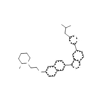 CC(C)Cc1nc(-c2ccc3[nH]nc(-c4ccc5cc(OCCN6CCCC[C@@H]6C)ccc5c4)c3c2)n[nH]1